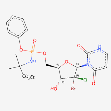 CCOC(=O)C(C)(C)NP(=O)(OC[C@H]1O[C@@H](n2c(=O)cc[nH]c2=O)[C@](Cl)(Br)[C@@H]1O)Oc1ccccc1